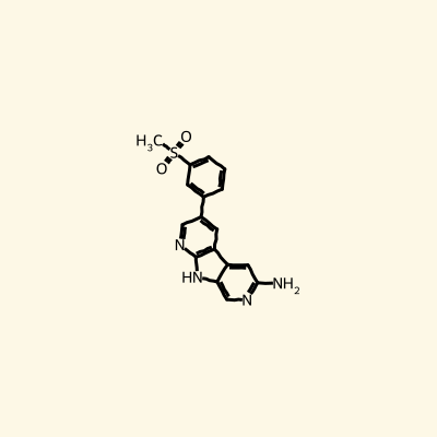 CS(=O)(=O)c1cccc(-c2cnc3[nH]c4cnc(N)cc4c3c2)c1